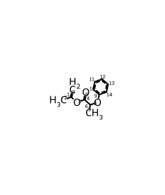 C=C(C)OC(=O)C(C)Oc1ccccc1